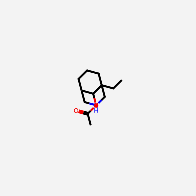 CCC12CCCC(CNC1)C2OC(C)=O